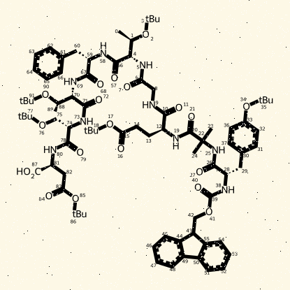 C[C@@H](OC(C)(C)C)[C@H](NC(=O)CNC(=O)[C@H](CCC(=O)OC(C)(C)C)NC(=O)C(C)(C)NC(=O)[C@H](Cc1ccc(OC(C)(C)C)cc1)NC(=O)OCC1c2ccccc2-c2ccccc21)C(=O)N[C@@H](Cc1ccccc1)C(=O)N[C@H](C(=O)N[C@@H](COC(C)(C)C)C(=O)N[C@@H](CC(=O)OC(C)(C)C)C(=O)O)[C@@H](C)OC(C)(C)C